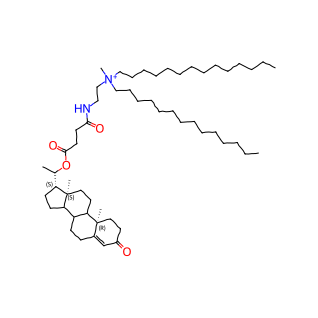 CCCCCCCCCCCCCC[N+](C)(CCCCCCCCCCCCCC)CCNC(=O)CCC(=O)OC(C)[C@H]1CCC2C3CCC4=CC(=O)CC[C@]4(C)C3CC[C@@]21C